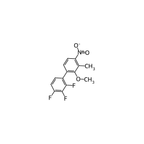 COc1c(-c2ccc(F)c(F)c2F)ccc([N+](=O)[O-])c1C